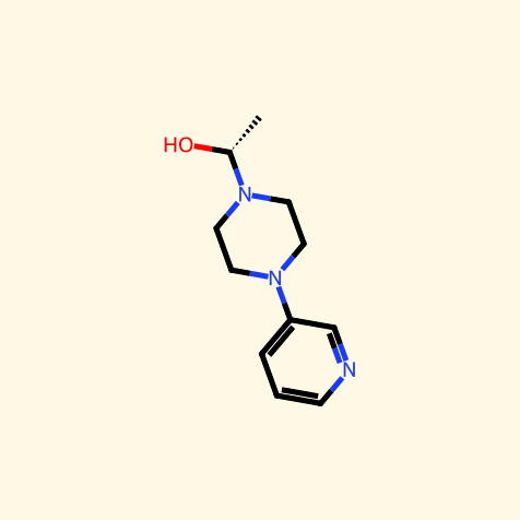 C[C@@H](O)N1CCN(c2cccnc2)CC1